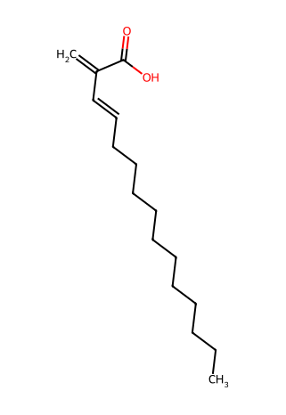 C=C(C=CCCCCCCCCCCC)C(=O)O